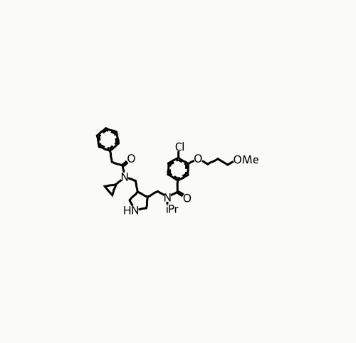 COCCCOc1cc(C(=O)N(CC2CNCC2CN(C(=O)Cc2ccccc2)C2CC2)C(C)C)ccc1Cl